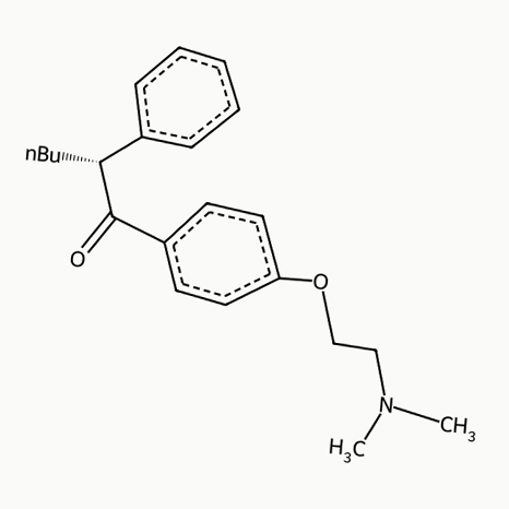 CCCC[C@@H](C(=O)c1ccc(OCCN(C)C)cc1)c1ccccc1